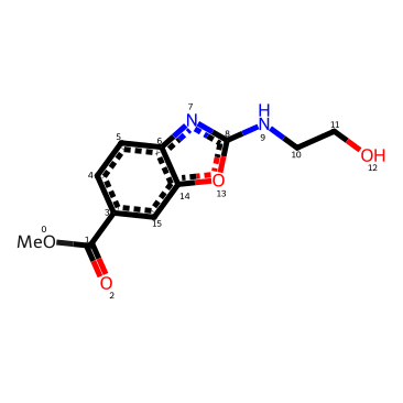 COC(=O)c1ccc2nc(NCCO)oc2c1